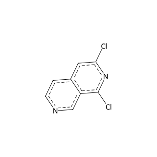 Clc1cc2ccncc2c(Cl)n1